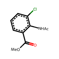 COC(=O)c1cccc(Cl)c1NC(C)=O